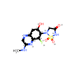 CNc1cnc2cc(O)c(N3CC(=O)NS3(=O)=O)c(F)c2n1